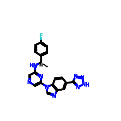 C[C@H](Nc1cncc(-n2cnc3cc(-c4nn[nH]n4)ccc32)n1)c1ccc(F)cc1